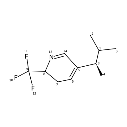 CC(C)[C@@H](C)C1=CCC(C(F)(F)F)N=C1